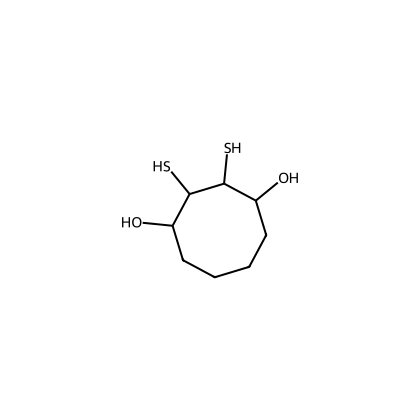 OC1CCCCC(O)C(S)C1S